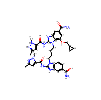 CCn1nc(C)cc1C(=O)Nc1nc2cc(C(N)=O)ccc2n1CCCCn1c(NC(=O)c2cc(C)nn2CC)nc2cc(C(N)=O)cc(OCC3CC3)c21